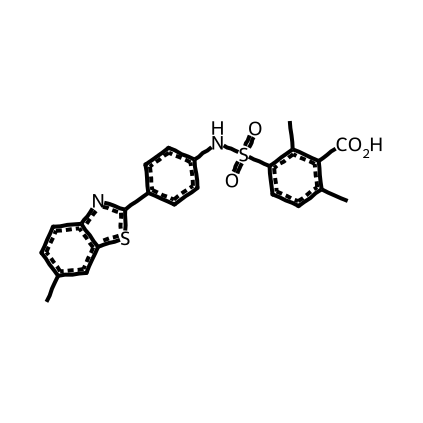 Cc1ccc2nc(-c3ccc(NS(=O)(=O)c4ccc(C)c(C(=O)O)c4C)cc3)sc2c1